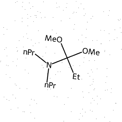 CCCN(CCC)C(CC)(OC)OC